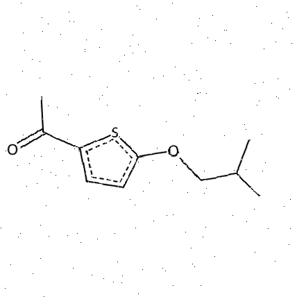 CC(=O)c1ccc(OCC(C)C)s1